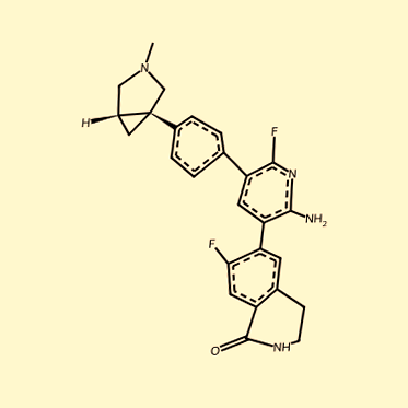 CN1C[C@H]2C[C@@]2(c2ccc(-c3cc(-c4cc5c(cc4F)C(=O)NCC5)c(N)nc3F)cc2)C1